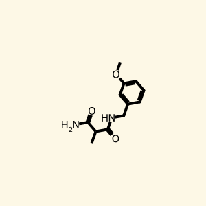 COc1cccc(CNC(=O)C(C)C(N)=O)c1